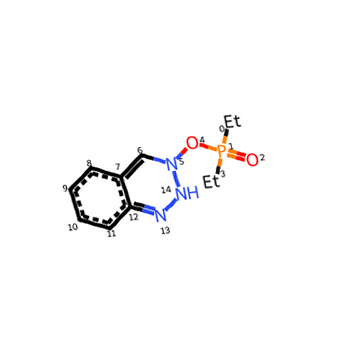 CCP(=O)(CC)ON1C=c2ccccc2=NN1